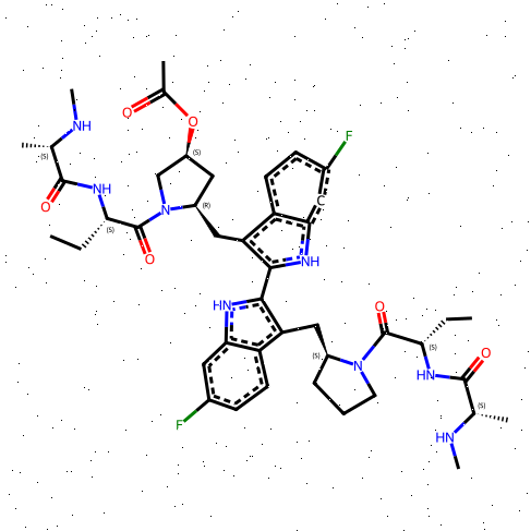 CC[C@H](NC(=O)[C@H](C)NC)C(=O)N1CCC[C@H]1Cc1c(-c2[nH]c3cc(F)ccc3c2C[C@@H]2C[C@H](OC(C)=O)CN2C(=O)[C@H](CC)NC(=O)[C@H](C)NC)[nH]c2cc(F)ccc12